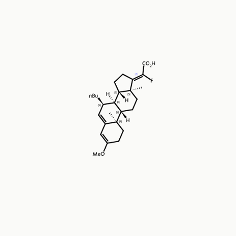 CCCC[C@@H]1C=C2C=C(OC)CC[C@]2(C)[C@H]2CC[C@]3(C)/C(=C(\F)C(=O)O)CC[C@H]3[C@H]12